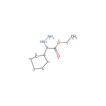 CCOC(=O)C(NN)C1CCCCC1